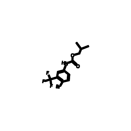 CC(C)COC(=O)Nc1ccc(Br)c(C(F)(F)F)c1